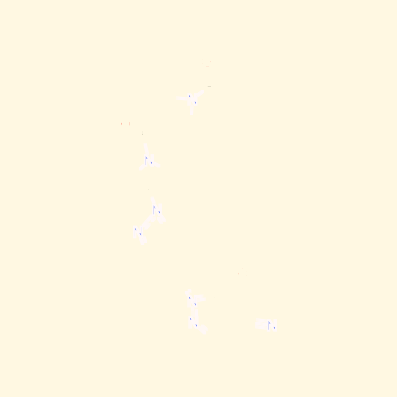 C=CC(=O)N1CC(C(=O)N2CC(n3cc(-c4cc(OC)c5c(C#N)cnn5c4)cn3)C2)C1